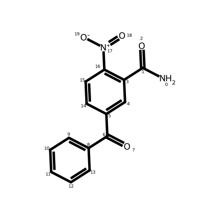 NC(=O)c1cc(C(=O)c2ccccc2)ccc1[N+](=O)[O-]